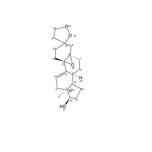 C[C@]12CC=C3[C@@H](CC[C@@]45CC6(CCOO6)CC[C@@]34O5)[C@H]1CC[C@H]2O